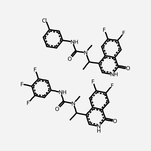 CC(c1c[nH]c(=O)c2cc(F)c(F)cc12)N(C)C(=O)Nc1cc(F)c(F)c(F)c1.CC(c1c[nH]c(=O)c2cc(F)c(F)cc12)N(C)C(=O)Nc1cccc(Cl)c1